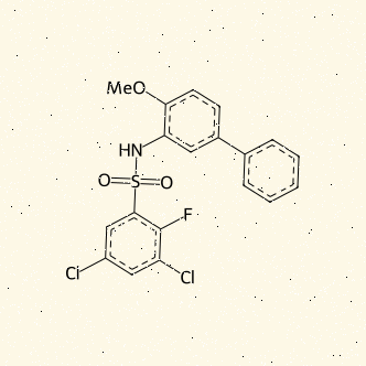 COc1ccc(-c2ccccc2)cc1NS(=O)(=O)c1cc(Cl)cc(Cl)c1F